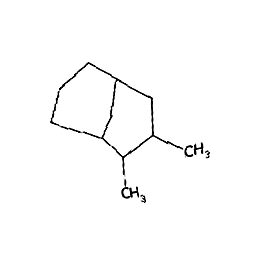 CC1CC2CCCC(C2)C1C